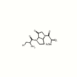 CCC(NC(C)=O)C(=O)N1CC(=O)C2C1CCN2C(=O)C(N)CC(C)C